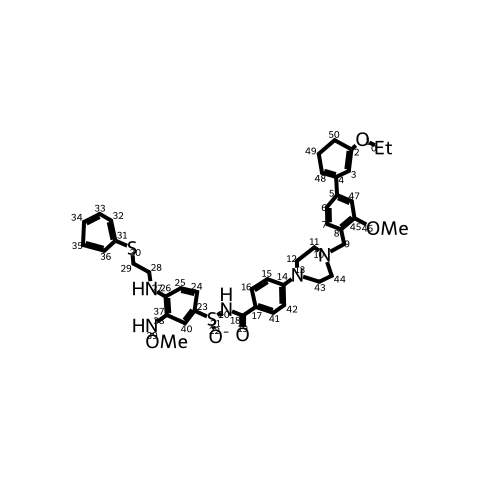 CCOC1=CC(c2ccc(CN3CCN(c4ccc(C(=O)N[S+]([O-])c5ccc(NCCSc6ccccc6)c(NOC)c5)cc4)CC3)c(OC)c2)=CCC1